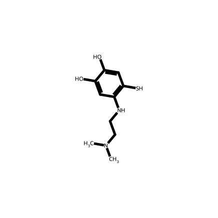 CN(C)CCNc1cc(O)c(O)cc1S